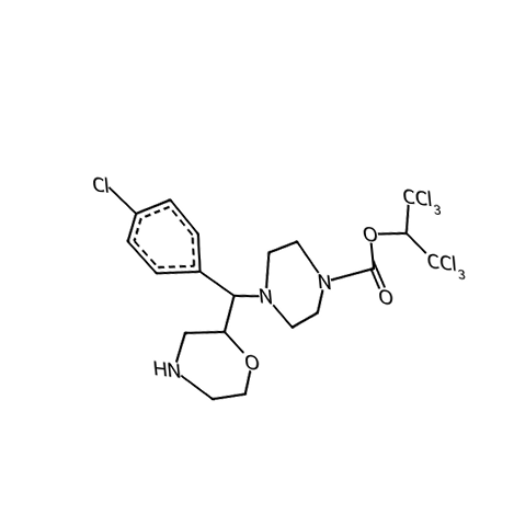 O=C(OC(C(Cl)(Cl)Cl)C(Cl)(Cl)Cl)N1CCN(C(c2ccc(Cl)cc2)C2CNCCO2)CC1